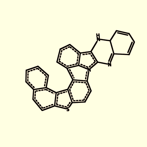 C1=CC2=Nc3c(c4cccc5c6c7c(ccc6n3c45)sc3ccc4ccccc4c37)NC2C=C1